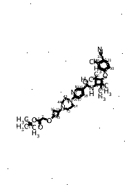 CC(C)(C)OC(=O)COC1CC(N2CCN(c3ccc(C(=O)NC4C(C)(C)C(Oc5ccc(C#N)c(Cl)c5)C4(C)C)cn3)CC2)C1